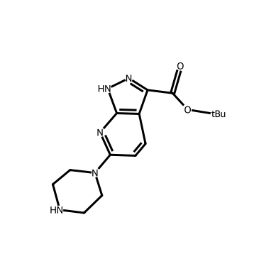 CC(C)(C)OC(=O)c1n[nH]c2nc(N3CCNCC3)ccc12